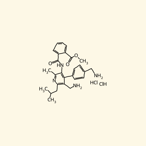 COC(=O)c1ccccc1C(=O)Nc1c(C)nc(CC(C)C)c(CN)c1-c1ccc(CN)cc1.Cl.Cl